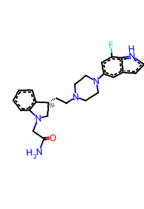 NC(=O)CN1C[C@@H](CCN2CCN(c3cc(F)c4[nH]ccc4c3)CC2)c2ccccc21